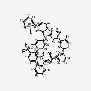 Cc1ccccc1-c1ccc2c3ccc(-c4ccccc4C)cc3n(-c3ccc(-c4ccccc4C(F)(F)F)c(-c4nc(-c5ccccc5)nc(-c5ccccc5)n4)c3)c2c1